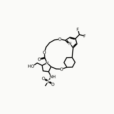 CS(=O)(=O)NC1CC(CO)N2C(=O)OCCCOc3cc(C(F)F)cc(n3)C3CCC(CC3)OCC12